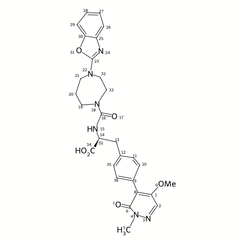 COc1cnn(C)c(=O)c1-c1ccc(C[C@H](NC(=O)N2CCCN(c3nc4ccccc4o3)CC2)C(=O)O)cc1